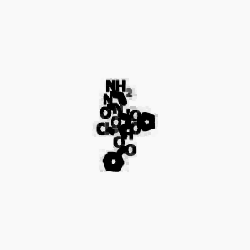 C[C@@]12OC3(CCCC3)O[C@@H]1[C@@](CCl)(COC(=O)c1ccccc1)O[C@H]2n1ccc(N)nc1=O